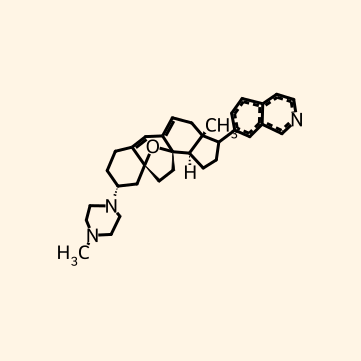 CN1CCN([C@@H]2CCC3=CC4=CC[C@]5(C)C(c6ccc7ccncc7c6)CC[C@H]5[C@@]45CC[C@]3(C2)O5)CC1